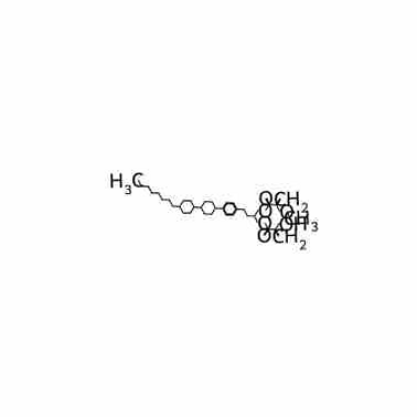 C=C(CO)C(=O)OCC(CCc1ccc(C2CCC(C3CCC(CCCCCCCC)CC3)CC2)cc1)COC(=O)C(=C)COC